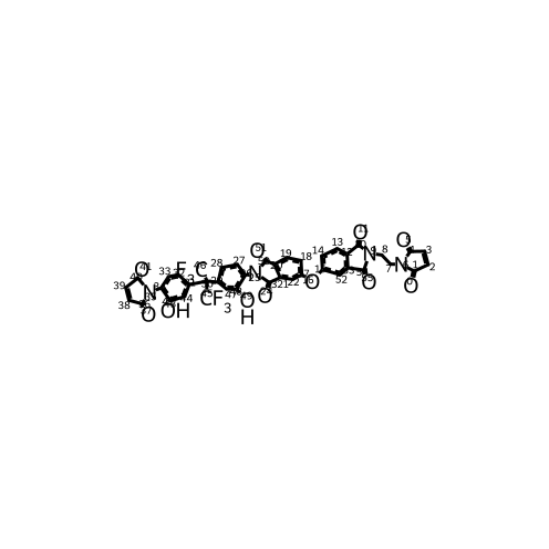 O=C1C=CC(=O)N1CCN1C(=O)c2ccc(Oc3ccc4c(c3)C(=O)N(c3ccc(C(c5ccc(N6C(=O)C=CC6=O)c(O)c5)(C(F)(F)F)C(F)(F)F)cc3O)C4=O)cc2C1=O